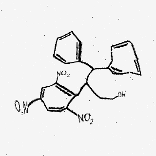 O=[N+]([O-])c1cc([N+](=O)[O-])c(C(CO)[C](c2ccccc2)c2ccccc2)c([N+](=O)[O-])c1